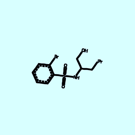 CC(C)CC(CO)NS(=O)(=O)c1ccccc1Br